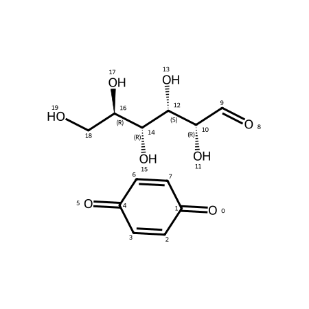 O=C1C=CC(=O)C=C1.O=C[C@H](O)[C@@H](O)[C@H](O)[C@H](O)CO